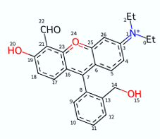 CC[N+](CC)=c1ccc2c(-c3ccccc3CO)c3ccc(O)c(C=O)c3oc-2c1